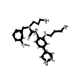 COc1cccc(CN(CCCO)C(=O)Nc2ccc(-c3cn[nH]c3)cc2OCCCO)c1